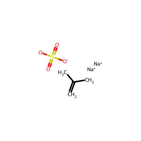 C=C(C)C.O=S(=O)([O-])[O-].[Na+].[Na+]